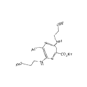 CCOC(=O)c1nc(NCCOC)c(C(C)=O)nc1NCCOC